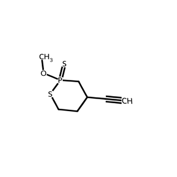 C#CC1CCSP(=S)(OC)C1